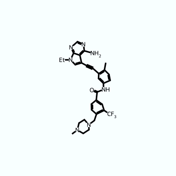 CCn1cc(C#Cc2cc(NC(=O)c3ccc(CN4CCN(C)CC4)c(C(F)(F)F)c3)ccc2C)c2c(N)ncnc21